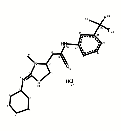 CN1C(=NC2CCCCC2)SCC1CC(=O)Nc1cccc(C(F)(F)F)c1.Cl